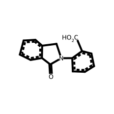 O=C(O)c1ccccc1N1Cc2ccccc2C1=O